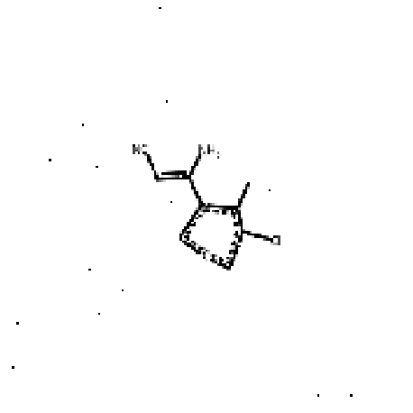 Cc1c(Cl)cccc1C(N)=CC#N